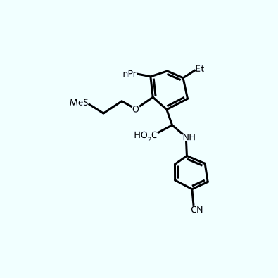 CCCc1cc(CC)cc(C(Nc2ccc(C#N)cc2)C(=O)O)c1OCCSC